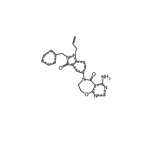 C=CCn1c2ccc(N3CCOc4ncnc(N)c4C3=O)cc2c(=O)n1Cc1ccccc1